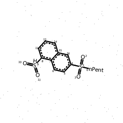 CCCCCS(=O)(=O)c1ccc2c([SH](=O)=O)cccc2c1